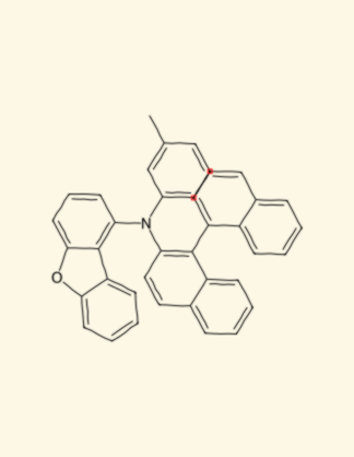 Cc1cccc(N(c2ccc3ccccc3c2-c2cccc3ccccc23)c2cccc3oc4ccccc4c23)c1